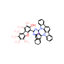 Bc1c(B)c(B)c2c(oc3c(-c4nc(C5=CCCC=C5)nc(-n5c6ccccc6c6ccc7c8ccccc8n(-c8ccccc8)c7c65)n4)c(O)c(B)c(B)c32)c1B